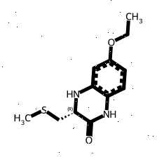 CCOc1ccc2c(c1)N[C@@H](CSC)C(=O)N2